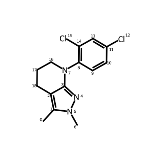 Cc1c2c(nn1C)N(c1ccc(Cl)cc1Cl)CCC2